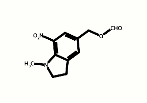 CN1CCc2cc(COC=O)cc([N+](=O)[O-])c21